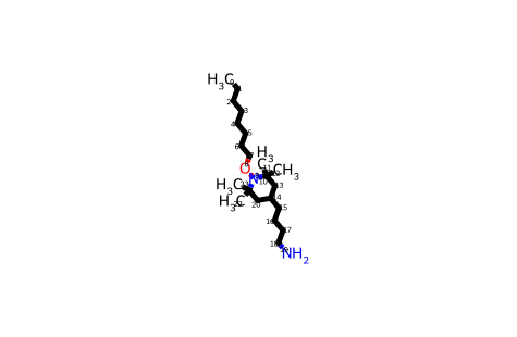 CCCCCCCCON1C(C)(C)CC(CCCCN)CC1(C)C